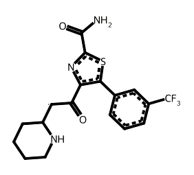 NC(=O)c1nc(C(=O)[CH]C2CCCCN2)c(-c2cccc(C(F)(F)F)c2)s1